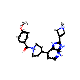 CC(=O)N1CC(c2nc3c(C4CCN(C(=O)c5ccc(OC(F)(F)F)cc5)CC4)ccnc3[nH]2)C1